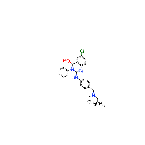 CCN(CC)Cc1ccc(NC2=Nc3ccc(Cl)cc3C(O)N2c2ccccc2)cc1